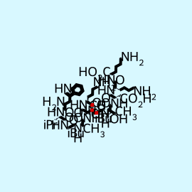 CC[C@H](C)[C@H](NC(=O)[C@H](CC(C)C)NC(=O)[C@@H](N)Cc1c[nH]c2ccccc12)C(=O)N[C@@H](C)C(=O)N[C@H](C(=O)N[C@@H](CCCCN)C(=O)N[C@H](C(=O)N[C@H](C(=O)N[C@@H](CC(=O)O)C(=O)N[C@@H](CCCCN)C(=O)N[C@@H](CCCCN)C(=O)O)[C@@H](C)O)[C@@H](C)CC)[C@@H](C)O